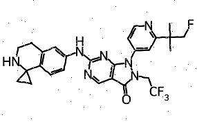 CC(C)(CF)c1cc(-n2c3nc(Nc4ccc5c(c4)CCNC54CC4)ncc3c(=O)n2CC(F)(F)F)ccn1